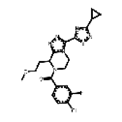 COCCC1c2nnc(-c3nc(C4CC4)ns3)n2CCN1C(=O)c1ccc(Cl)c(F)c1